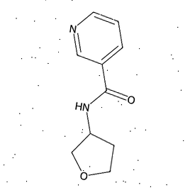 O=C(NC1CCOC1)c1cccnc1